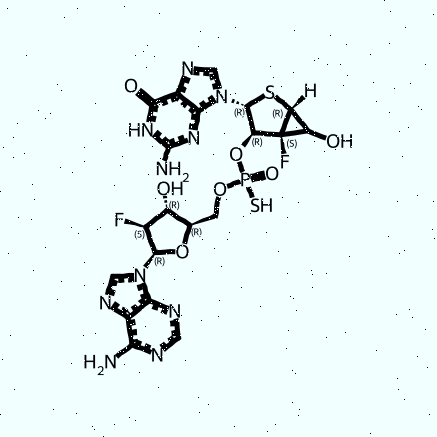 Nc1nc2c(ncn2[C@@H]2S[C@@H]3C(O)[C@]3(F)[C@H]2OP(=O)(S)OC[C@H]2O[C@@H](n3cnc4c(N)ncnc43)[C@@H](F)[C@@H]2O)c(=O)[nH]1